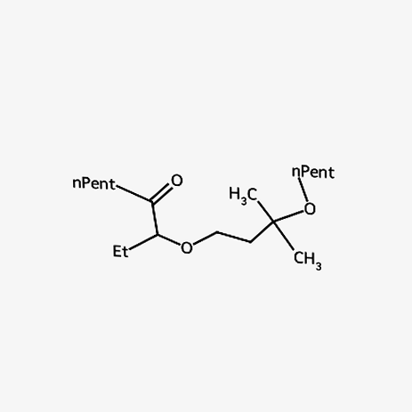 CCCCCOC(C)(C)CCOC(CC)C(=O)CCCCC